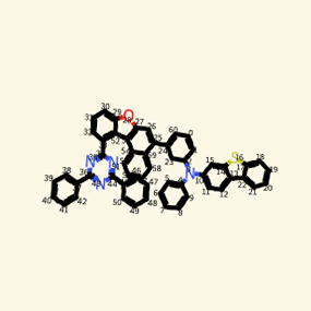 C1=CC(N(c2ccccc2)c2ccc3c(c2)sc2ccccc23)CC(c2cc3oc4cccc(-c5nc(-c6ccccc6)nc(-c6ccccc6)n5)c4c3c3ccccc23)=C1